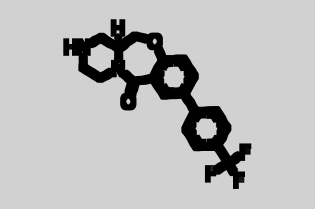 O=C1c2cc(-c3ccc(C(F)(F)F)cc3)ccc2OC[C@H]2CNCCN12